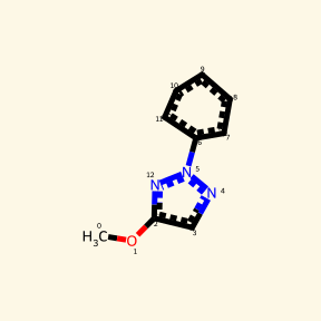 COc1cnn(-c2ccccc2)n1